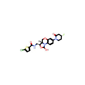 O=C(NC[C@@H]1OC(O)N2c3ccc(N4CC[C@@H](F)CC4=O)cc3OC[C@@H]12)c1ccc(Cl)s1